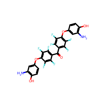 Nc1cc(Oc2c(F)c(F)c(C(=O)c3c(F)c(F)c(Oc4ccc(O)c(N)c4)c(F)c3F)c(F)c2F)ccc1O